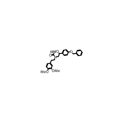 COc1ccc(CCN(CC(O)c2ccc(OCc3ccccc3)cc2)C(=O)C(C)(C)C)cc1OC